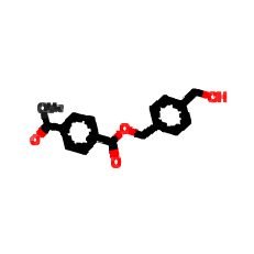 COC(=O)c1ccc(C(=O)OCc2ccc(CO)cc2)cc1